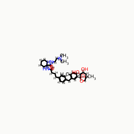 Cc1ccc([C@@]23OC[C@@](C)(C[C@H](O)[C@H]2O)O3)cc1Cc1ccc(CCCC(=O)NC2(C(=O)NCCN(C)C)CCCCC2)cc1